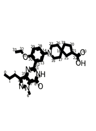 CCCc1nn(C)c2c(=O)[nH]c(-c3cc(N4CCC5(CCC(C(=O)O)C5)CC4)ccc3OCC)nc12